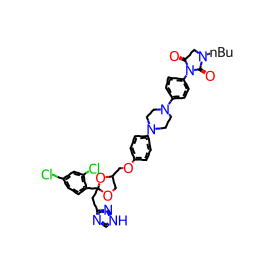 CCCCN1CC(=O)N(c2ccc(N3CCN(c4ccc(OCC5COC(Cc6nc[nH]n6)(c6ccc(Cl)cc6Cl)O5)cc4)CC3)cc2)C1=O